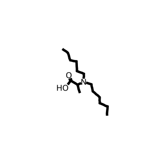 CCCCCCN(CCCCCC)C(C)C(=O)O